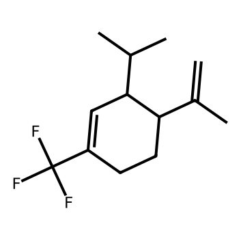 C=C(C)C1CCC(C(F)(F)F)=CC1C(C)C